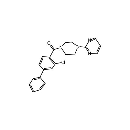 O=C(c1ccc(-c2ccccc2)cc1Cl)N1CCN(c2ncccn2)CC1